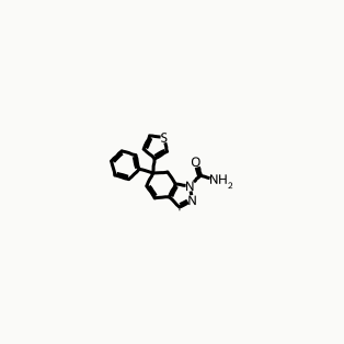 NC(=O)n1n[c]c2c1CC(c1ccccc1)(c1ccsc1)C=C2